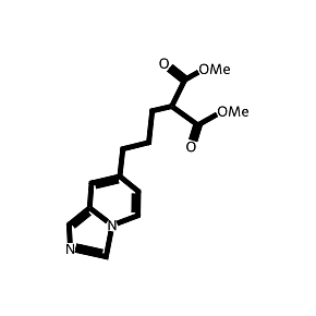 COC(=O)C(CCCc1ccn2cncc2c1)C(=O)OC